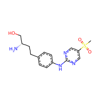 CS(=O)(=O)c1cnc(Nc2ccc(CC[C@H](N)CO)cc2)nc1